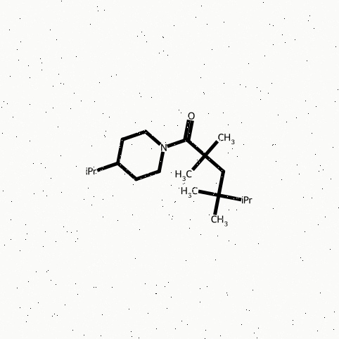 CC(C)C1CCN(C(=O)C(C)(C)CC(C)(C)C(C)C)CC1